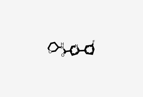 O=C(NC1CCCOC1)c1ccc(-c2cccc(F)c2)nc1